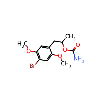 COc1cc(CC(C)OC(N)=O)c(OC)cc1Br